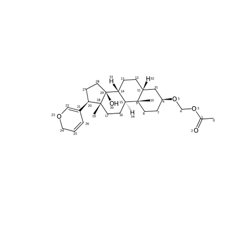 CC(=O)OCO[C@H]1CC[C@@]2(C)[C@H](CC[C@@H]3[C@@H]2CC[C@]2(C)[C@@H](C4=COCC=C4)CC[C@]32O)C1